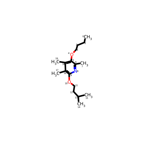 CCCCOc1c(C)nc(OCCC(C)C)c(C)c1C